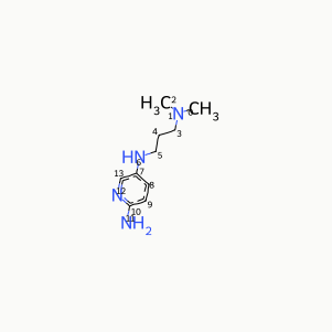 CN(C)CCCNc1ccc(N)nc1